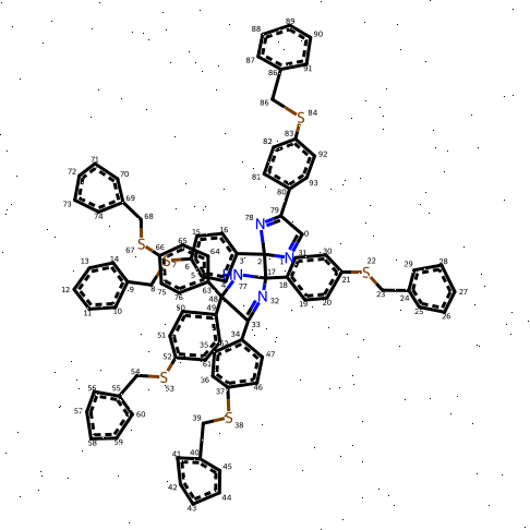 C1=NC(c2ccc(SCc3ccccc3)cc2)(C2(c3ccc(SCc4ccccc4)cc3)N=C(c3ccc(SCc4ccccc4)cc3)C(c3ccc(SCc4ccccc4)cc3)(c3ccc(SCc4ccccc4)cc3)N2)N=C1c1ccc(SCc2ccccc2)cc1